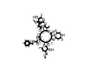 CO/N=C1\C[C@@H](C)O[C@@H](O[C@@H]2[C@@H](C)[C@H](O[C@H]3C[C@H](C)NC[C@H](C)O3)[C@@H](C)C(=O)O[C@H](C(C)CO[C@@H]3O[C@H](C)[C@@H](O)[C@@H](OC)[C@H]3OC)[C@H](C)[C@@H](OC(=O)CC(C)C)[C@@H](C)C(=O)[C@@](C)(OC(=O)NCc3ccccc3)C[C@@H]2C)[C@@H]1O